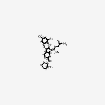 CCC[C@@H](CCC(N)=O)n1c(Nc2c(F)cc(Cl)cc2Cl)nc2cnc(N[C@H]3CCOC[C@H]3F)nc21